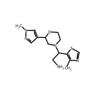 Cc1ncsc1C(CN)N1CCOC(c2cnn(C)c2)C1